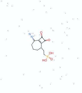 [N-]=[N+]=C1CCCC(CCP(=O)(O)O)c2c1c(=O)c2=O